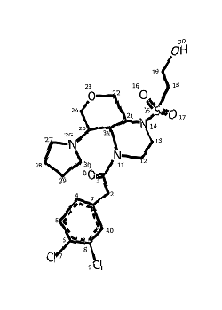 O=C(Cc1ccc(Cl)c(Cl)c1)N1CCN(S(=O)(=O)CCO)C2COCC(N3CCCC3)C21